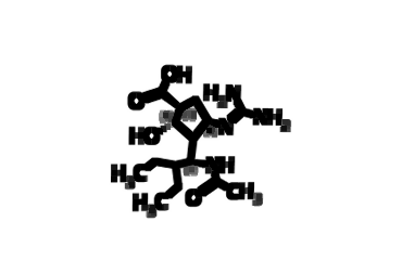 CCC(CC)[C@H](NC(C)=O)C1[C@H](N=C(N)N)C[C@H](C(=O)O)[C@H]1O